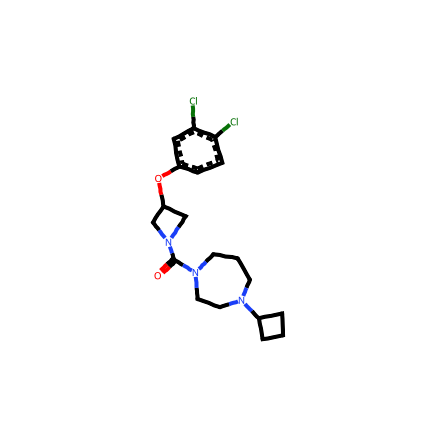 O=C(N1CCCN(C2CCC2)CC1)N1CC(Oc2ccc(Cl)c(Cl)c2)C1